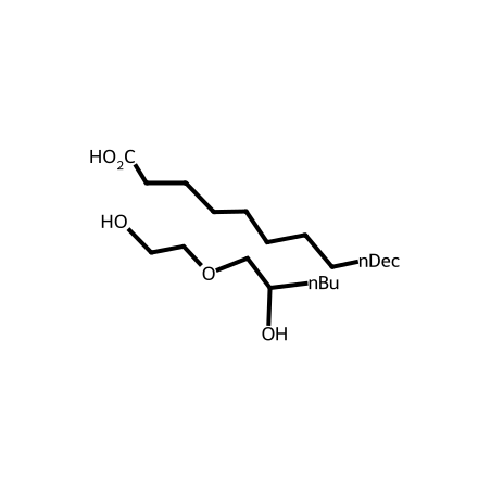 CCCCC(O)COCCO.CCCCCCCCCCCCCCCCCC(=O)O